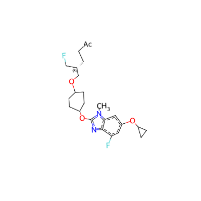 CC(=O)CC[C@@H](CF)COC1CCC(Oc2nc3c(F)cc(OC4CC4)cc3n2C)CC1